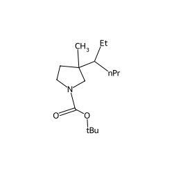 CCCC(CC)C1(C)CCN(C(=O)OC(C)(C)C)C1